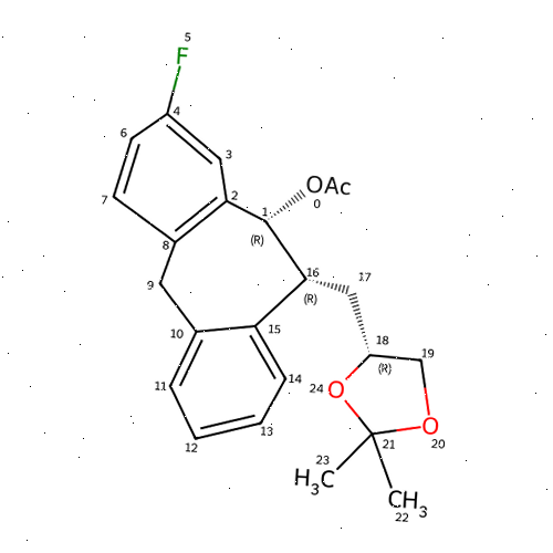 CC(=O)O[C@H]1c2cc(F)ccc2Cc2ccccc2[C@H]1C[C@@H]1COC(C)(C)O1